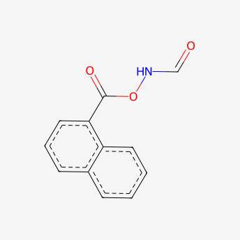 O=CNOC(=O)c1cccc2ccccc12